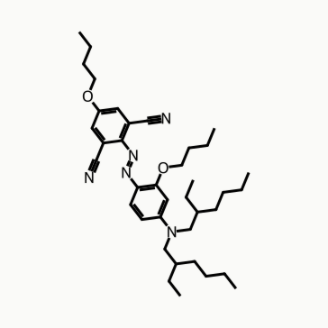 CCCCOc1cc(C#N)c(N=Nc2ccc(N(CC(CC)CCCC)CC(CC)CCCC)cc2OCCCC)c(C#N)c1